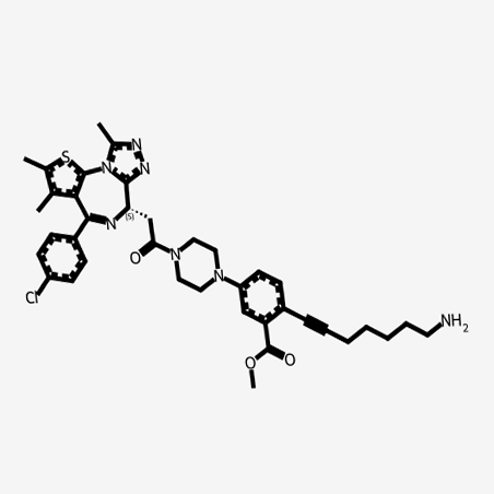 COC(=O)c1cc(N2CCN(C(=O)C[C@@H]3N=C(c4ccc(Cl)cc4)c4c(sc(C)c4C)-n4c(C)nnc43)CC2)ccc1C#CCCCCCN